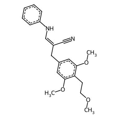 COCCc1c(OC)cc(CC(C#N)=CNc2ccccc2)cc1OC